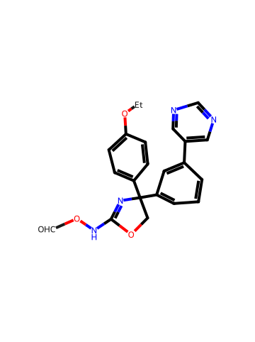 CCOc1ccc(C2(c3cccc(-c4cncnc4)c3)COC(NOC=O)=N2)cc1